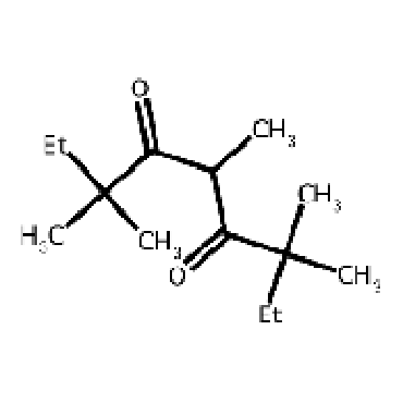 CCC(C)(C)C(=O)C(C)C(=O)C(C)(C)CC